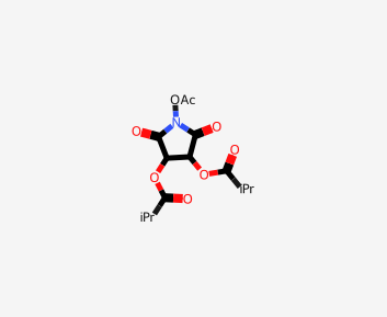 CC(=O)ON1C(=O)C(OC(=O)C(C)C)C(OC(=O)C(C)C)C1=O